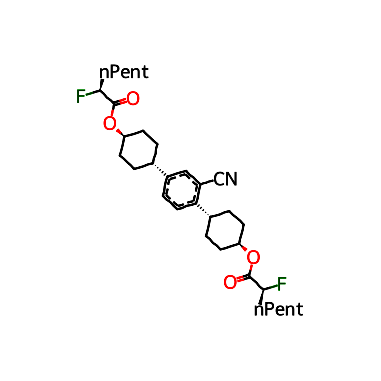 CCCCC[C@H](F)C(=O)O[C@H]1CC[C@H](c2ccc([C@H]3CC[C@H](OC(=O)[C@@H](F)CCCCC)CC3)c(C#N)c2)CC1